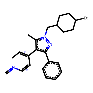 C=N/C=C\C(=C/C)c1c(-c2ccccc2)nn(CC2CCC(CC)CC2)c1C